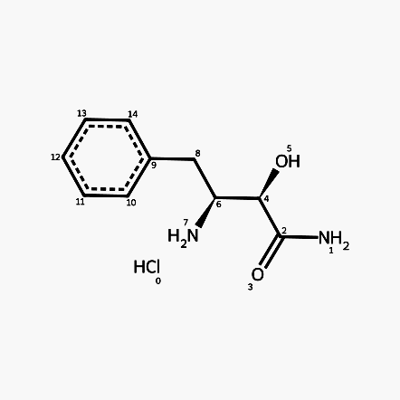 Cl.NC(=O)[C@H](O)[C@@H](N)Cc1ccccc1